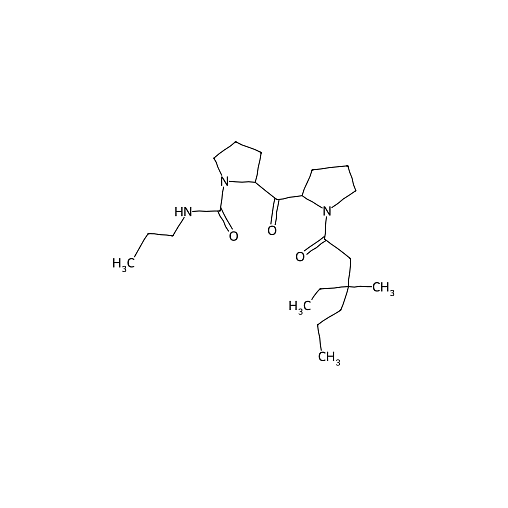 CCCNC(=O)N1CCCC1C(=O)C1CCCN1C(=O)CC(C)(CC)CCC